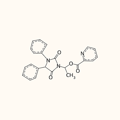 CC(OC(=O)c1ccccn1)N1C(=O)C(c2ccccc2)N(c2ccccc2)C1=O